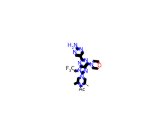 CC(=O)N1C(C)CN(c2nc3c(N4CCOCC4)nc(-c4cnc(N)nc4)nc3n2CC(F)(F)F)C[C@@H]1C